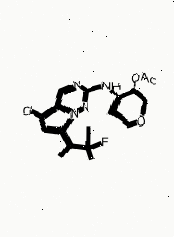 CC(=O)O[C@@H]1COCC[C@H]1Nc1ncc2c(Cl)cc(C(C)C(C)(C)F)n2n1